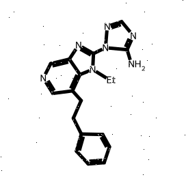 CCn1c(-n2ncnc2N)nc2cncc(CCc3ccccc3)c21